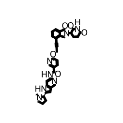 CN1CCC[C@@H]1c1cc2cnc(NC(=O)c3ccc(OCC#Cc4cccc5c4CN(C4CCC(=O)NC4=O)C5=O)nc3)cc2[nH]1